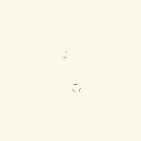 C=CC(=O)OCCOCSc1ccccc1